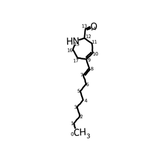 CCCCCCC/C=C/C1=CCC(C=O)NCC1